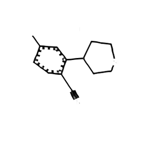 Cl.N#Cc1ccc(F)cc1C1CCNCC1